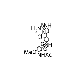 COc1ccc(S(=O)(=O)Nc2ccc(-c3ccc4[nH]nc(N)c4n3)c(Cl)c2)cc1NC(C)=O